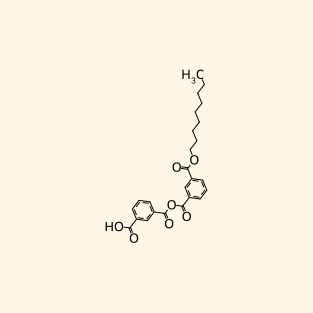 CCCCCCCCCOC(=O)c1cccc(C(=O)OC(=O)c2cccc(C(=O)O)c2)c1